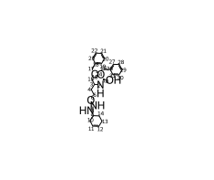 OC(NC(CCONNC1CC=CCC1)COCc1ccccc1)OCc1ccccc1